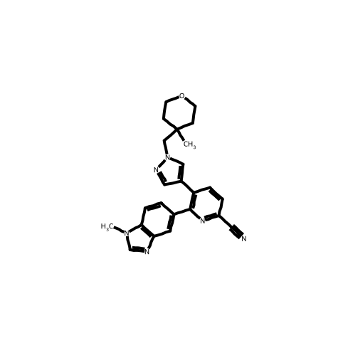 Cn1cnc2cc(-c3nc(C#N)ccc3-c3cnn(CC4(C)CCOCC4)c3)ccc21